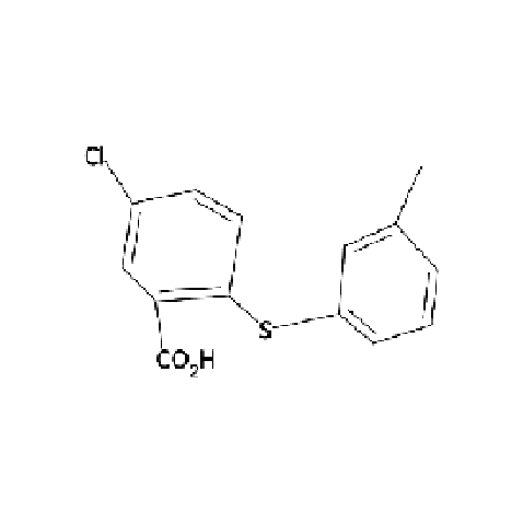 Cc1cccc(Sc2ccc(Cl)cc2C(=O)O)c1